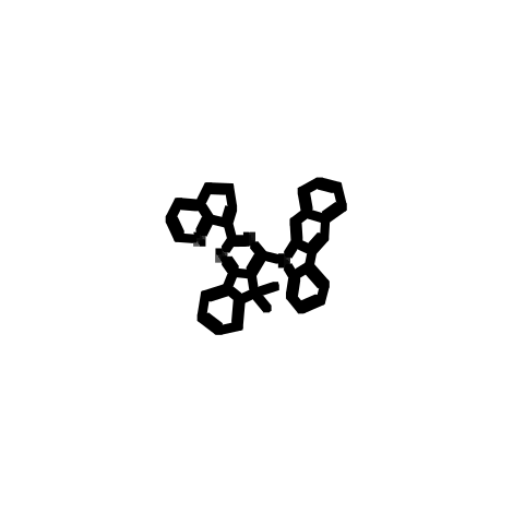 CC1(C)c2ccccc2-c2nc(-c3cccc4cccnc34)nc(-n3c4ccccc4c4cc5ccccc5cc43)c21